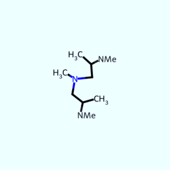 CNC(C)CN(C)CC(C)NC